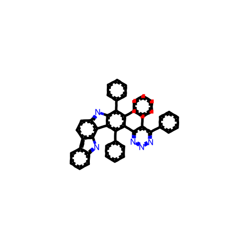 c1ccc(-c2nnnc(-c3c(-c4ccccc4)c(-c4ccccc4)c4c(c3-c3ccccc3)-c3c5c(ccc3=N4)=c3ccccc3=N5)c2-c2ccccc2)cc1